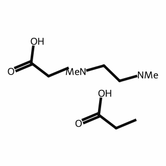 CCC(=O)O.CCC(=O)O.CNCCNC